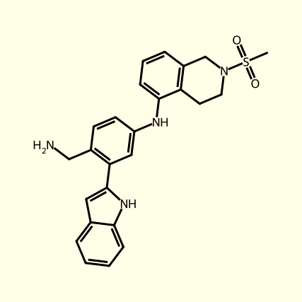 CS(=O)(=O)N1CCc2c(cccc2Nc2ccc(CN)c(-c3cc4ccccc4[nH]3)c2)C1